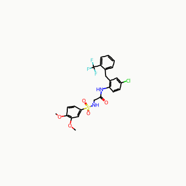 COc1ccc(S(=O)(=O)NCC(=O)Nc2ccc(Cl)cc2Cc2ccccc2C(F)(F)F)cc1OC